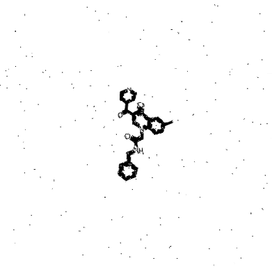 Cc1ccc2c(c1)c(=O)c(C(=O)c1ccncc1)cn2CC(=O)NCc1ccccc1